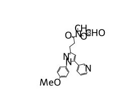 COc1ccc(-n2nc(CCC(=O)N(C)OC=O)cc2-c2cccnc2)cc1